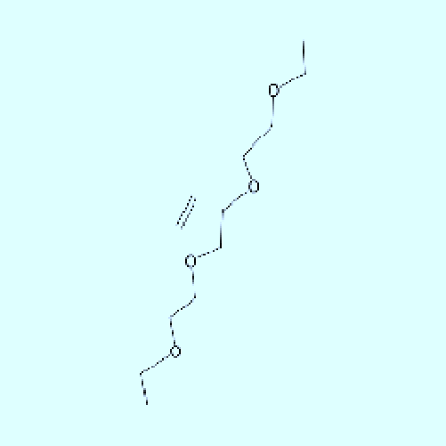 C=C.CCOCCOCCOCCOCC